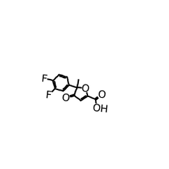 CC1(c2ccc(F)c(F)c2)OC(C(=O)O)=CC1=O